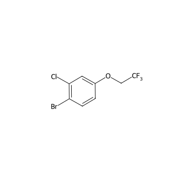 FC(F)(F)COc1ccc(Br)c(Cl)c1